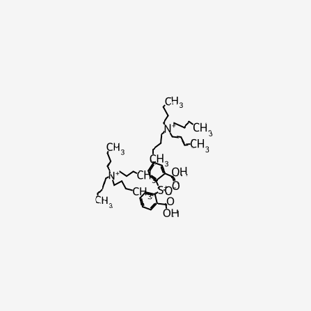 CCCC[N+](CCCC)(CCCC)CCCC.CCCC[N+](CCCC)(CCCC)CCCC.O=C(O)c1ccccc1[S+]([O-])c1ccccc1C(=O)O